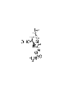 NC(=O)OCc1cn2cc(C3CC3)cc(C=O)c2n1